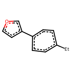 CCc1ccc(-c2ccoc2)cc1